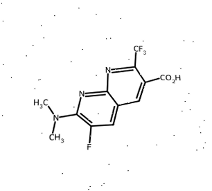 CN(C)c1nc2nc(C(F)(F)F)c(C(=O)O)cc2cc1F